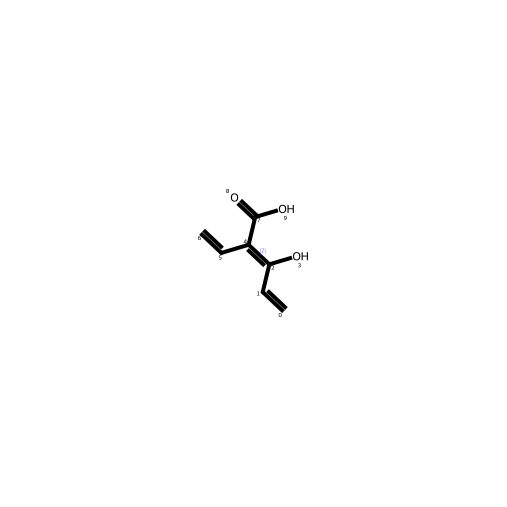 C=C/C(O)=C(\C=C)C(=O)O